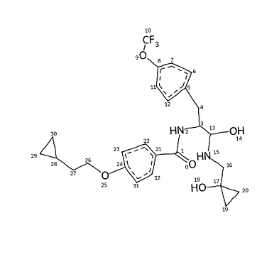 O=C(NC(Cc1ccc(OC(F)(F)F)cc1)C(O)NCC1(O)CC1)c1ccc(OCCC2CC2)cc1